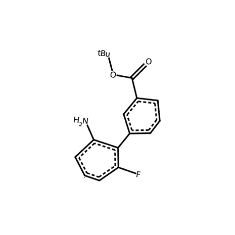 CC(C)(C)OC(=O)c1cccc(-c2c(N)c[c]cc2F)c1